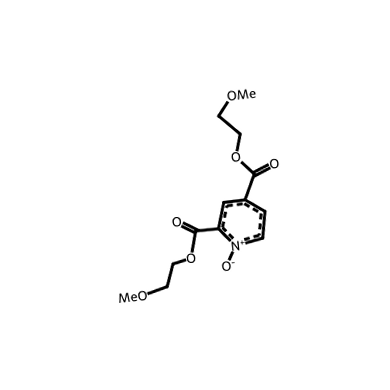 COCCOC(=O)c1cc[n+]([O-])c(C(=O)OCCOC)c1